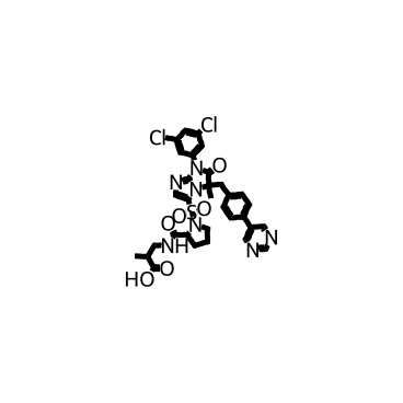 CC(CNC(=O)C1CCCN1S(=O)(=O)c1cnc2n1C(C)(Cc1ccc(-c3cncnc3)cc1)C(=O)N2c1cc(Cl)cc(Cl)c1)C(=O)O